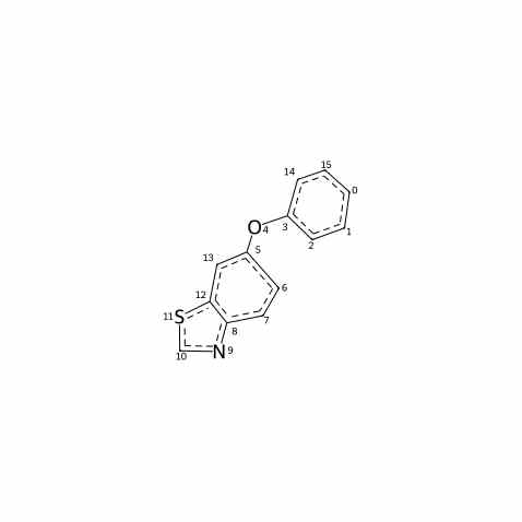 c1ccc(Oc2ccc3ncsc3c2)cc1